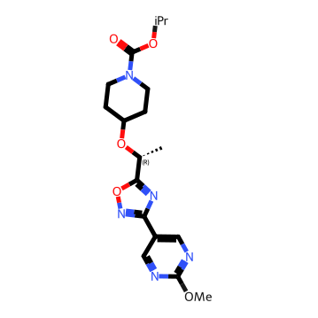 COc1ncc(-c2noc([C@@H](C)OC3CCN(C(=O)OC(C)C)CC3)n2)cn1